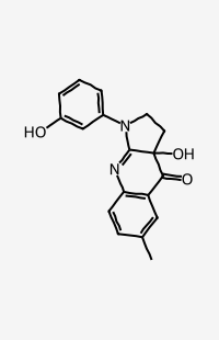 Cc1ccc2c(c1)C(=O)C1(O)CCN(c3cccc(O)c3)C1=N2